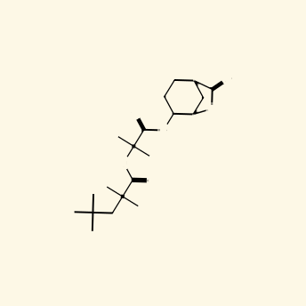 CC(C)(C)CC(C)(C)C(=O)OC(C)(C)C(=O)OC1CCC2CC1OC2=O